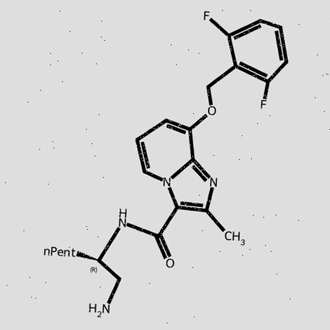 CCCCC[C@H](CN)NC(=O)c1c(C)nc2c(OCc3c(F)cccc3F)cccn12